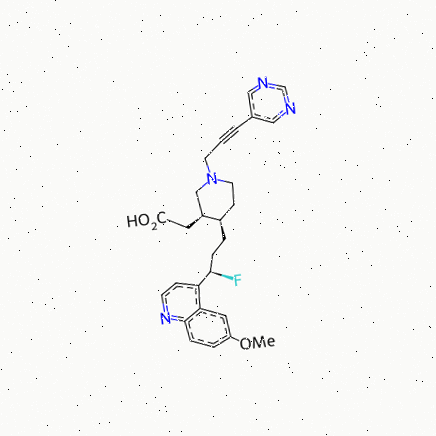 COc1ccc2nccc([C@H](F)CC[C@@H]3CCN(CC#Cc4cncnc4)C[C@@H]3CC(=O)O)c2c1